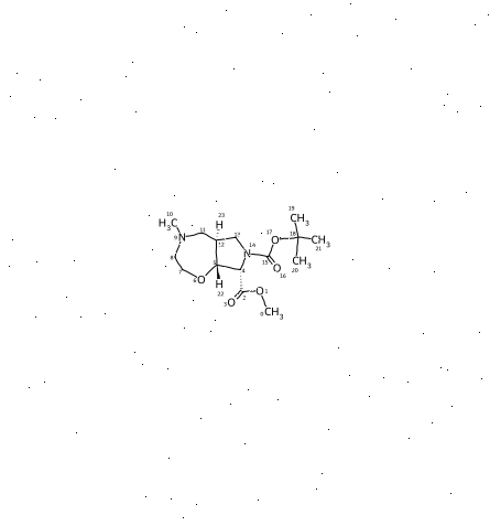 COC(=O)[C@@H]1[C@@H]2OCCN(C)C[C@H]2CN1C(=O)OC(C)(C)C